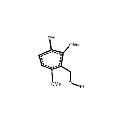 CCOCc1c(OC)ccc(O)c1OC